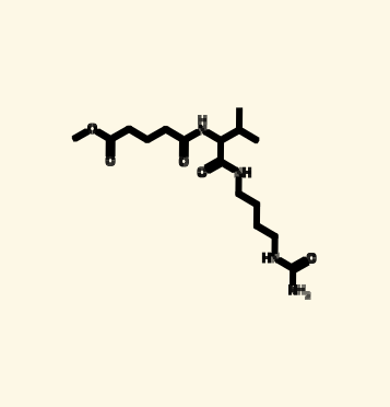 COC(=O)CCCC(=O)NC(C(=O)NCCCCNC(N)=O)C(C)C